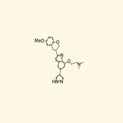 COc1ccc2c(c1)CC(c1nc3c(OCCN(C)C)cc(-c4cn[nH]c4)cc3s1)CO2